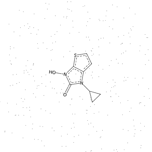 O=c1n(O)c2sccc2n1C1CC1